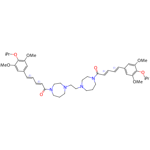 COc1cc(/C=C/C=C/C(=O)N2CCCN(CCN3CCCN(C(=O)/C=C/C=C/c4cc(OC)c(OC(C)C)c(OC)c4)CC3)CC2)cc(OC)c1OC(C)C